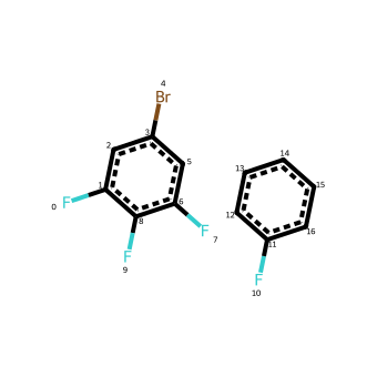 Fc1cc(Br)cc(F)c1F.Fc1ccccc1